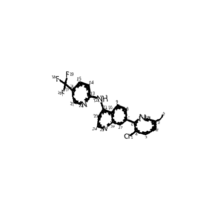 Cc1ccc(Cl)c(-c2ccc3c(Nc4ccc(C(F)(F)F)cn4)ccnc3c2)n1